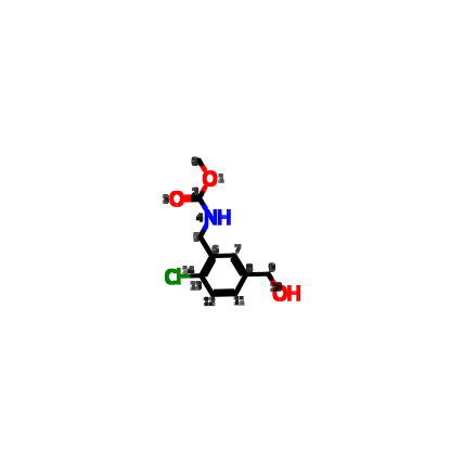 COC(=O)NCc1cc(CO)ccc1Cl